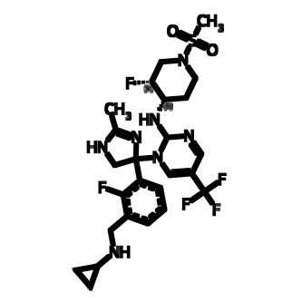 CC1=NC(c2cccc(CNC3CC3)c2F)(N2C=C(C(F)(F)F)C=NC2N[C@H]2CCN(S(C)(=O)=O)C[C@H]2F)CN1